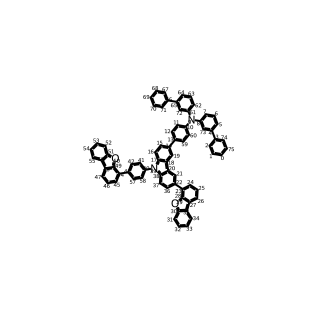 c1ccc(-c2cccc(N(c3ccc(-c4ccc5c(c4)c4cc(-c6cccc7c6oc6ccccc67)ccc4n5-c4ccc(-c5cccc6c5oc5ccccc56)cc4)cc3)c3cccc(-c4ccccc4)c3)c2)cc1